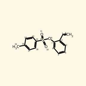 C=Cc1ccccc1OS(=O)(=O)c1ccc(C)cc1